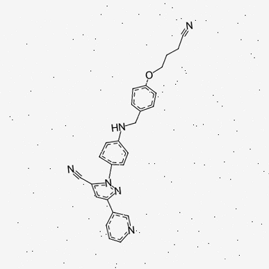 N#CCCCOc1ccc(CNc2ccc(-n3nc(-c4cccnc4)cc3C#N)cc2)cc1